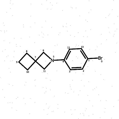 Brc1ccc(N2CC3(CCC3)C2)cc1